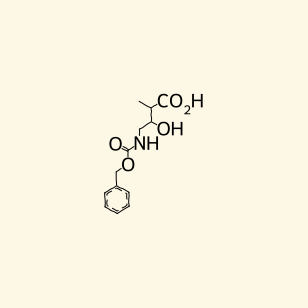 CC(C(=O)O)C(O)CNC(=O)OCc1ccccc1